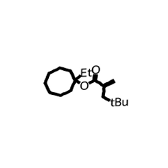 C=C(CC(C)(C)C)C(=O)OC1(CC)CCCCCCC1